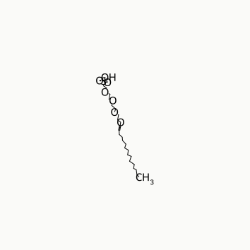 CCCCCCCCCCCCCCC#COCCOCCOCCOCCS(=O)(=O)O